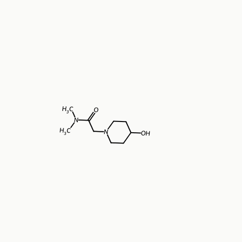 CN(C)C(=O)CN1CCC(O)CC1